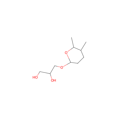 CC1CCC(OCC(O)CO)OC1C